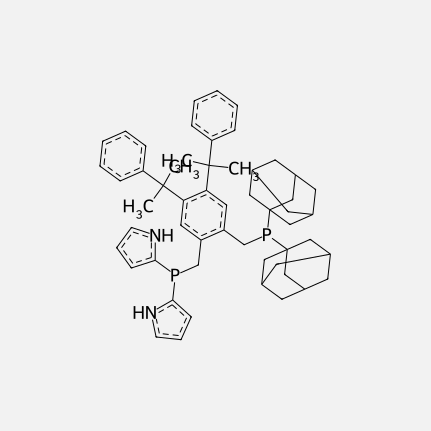 CC(C)(c1ccccc1)c1cc(CP(c2ccc[nH]2)c2ccc[nH]2)c(CP(C23CC4CC(CC(C4)C2)C3)C23CC4CC(CC(C4)C2)C3)cc1C(C)(C)c1ccccc1